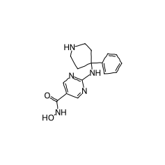 O=C(NO)c1cnc(NC2(c3ccccc3)CCNCC2)nc1